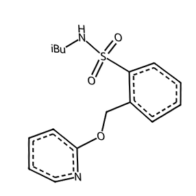 CCC(C)NS(=O)(=O)c1ccccc1COc1ccccn1